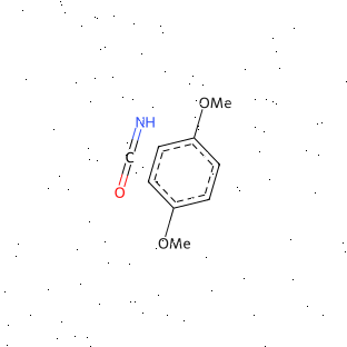 COc1ccc(OC)cc1.N=C=O